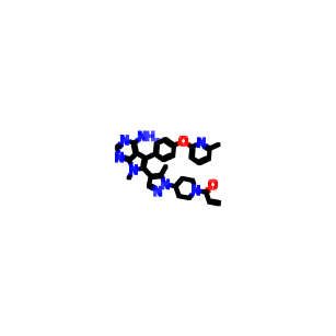 C=CC(=O)N1CCC(n2ncc(-c3c(-c4ccc(Oc5cccc(C)n5)cc4)c4c(N)ncnc4n3C)c2C)CC1